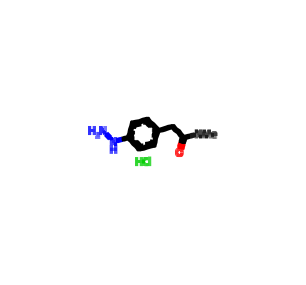 CNC(=O)Cc1ccc(NN)cc1.Cl